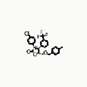 Cc1ccc(COC[C@@H]2OC(=O)N(c3ccc(Cl)cc3)[C@H]2c2cccc(C(F)(F)F)c2)cc1